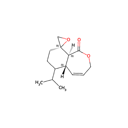 CC(C)C1CC[C@@]2(CO2)[C@H]2C(=O)OCC=C[C@H]12